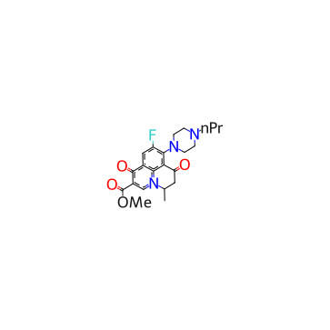 CCCN1CCN(c2c(F)cc3c(=O)c(C(=O)OC)cn4c3c2C(=O)CC4C)CC1